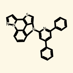 c1ccc(-c2cc(-c3ccccc3)nc(-n3c4csc5c4c4c3cccc4n3nccc53)c2)cc1